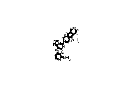 Nc1nccc(Sc2cnc(N3CCC4(CC3)Cc3cnccc3[C@H]4N)n3cnnc23)c1Cl